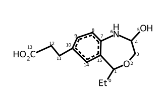 CCC1OCC(O)Nc2ccc(CCC(=O)O)cc21